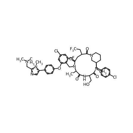 CC1C(=O)NC(CO)C(=O)N(C)C2(Cc3ccc(Cl)cc3)CCCN(C2)C(=O)C(CC(F)(F)F)CC(=O)N1Cc1c(F)cc(Cl)cc1Oc1ccc(-c2cnc(CN(C)C)n2C)cc1